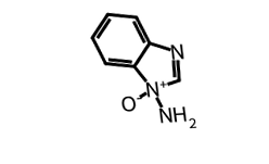 N[N+]1([O-])C=Nc2ccccc21